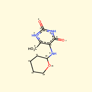 O=C(O)c1[nH]c(=O)[nH]c(=O)c1NC1CCCCO1